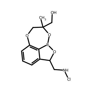 CC1(CO)COc2cccc3c2B(OC3CNCl)O1